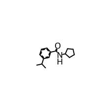 CC(C)c1cccc(C(=O)NC2CCCC2)c1